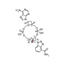 NC(=O)c1cccc2c1nnn2[C@@H]1O[C@@H]2COP(=O)(S)OC[C@@H]3[C@@H](CO[PH](O)(S)O[C@@H]1[C@@H]2F)C[C@H]3n1cnc2c(N)ncnc21